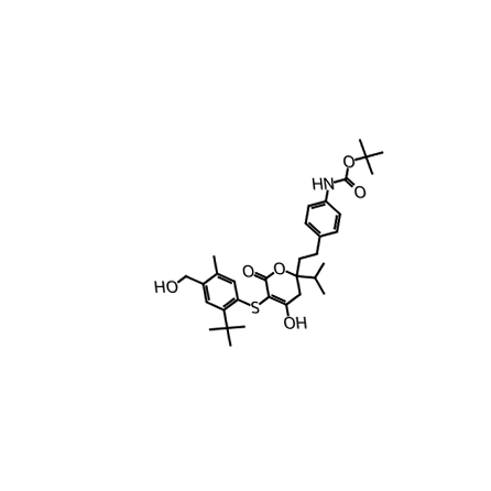 Cc1cc(SC2=C(O)CC(CCc3ccc(NC(=O)OC(C)(C)C)cc3)(C(C)C)OC2=O)c(C(C)(C)C)cc1CO